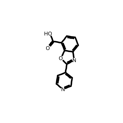 O=C(O)c1cccc2nc(-c3ccncc3)oc12